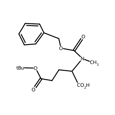 CN(C(=O)OCc1ccccc1)C(CCC(=O)OC(C)(C)C)C(=O)O